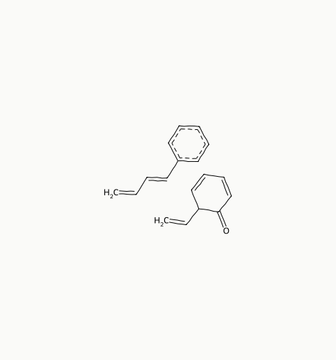 C=CC1C=CC=CC1=O.C=CC=Cc1ccccc1